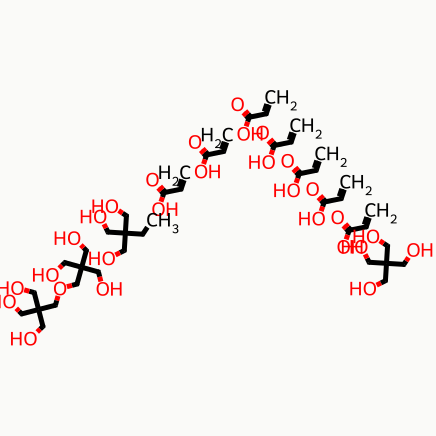 C=CC(=O)O.C=CC(=O)O.C=CC(=O)O.C=CC(=O)O.C=CC(=O)O.C=CC(=O)O.C=CC(=O)O.CCC(CO)(CO)CO.OCC(CO)(CO)CO.OCC(CO)(CO)COCC(CO)(CO)CO